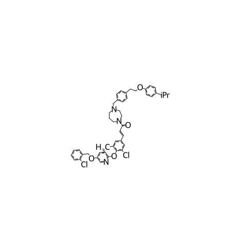 Cc1cc(C=CC(=O)N2CCCN(Cc3ccc(CCOc4ccc(C(C)C)cc4)cc3)CC2)cc(Cl)c1Oc1ccc(OCc2ccccc2Cl)cn1